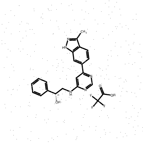 Cc1n[nH]c2cc(-c3cc(NC[C@H](O)c4ccccc4)ncn3)ccc12.O=C(O)C(F)(F)F